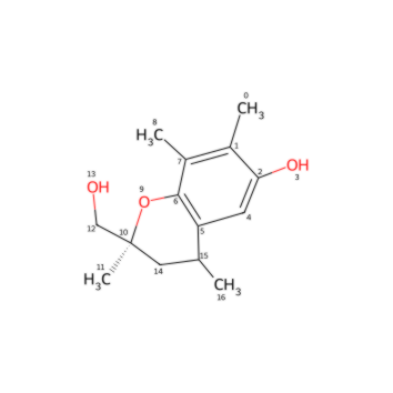 Cc1c(O)cc2c(c1C)O[C@](C)(CO)CC2C